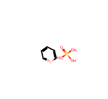 O=P(O)(O)O.b1ccccc1